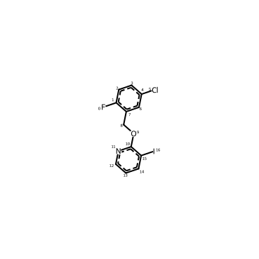 Fc1ccc(Cl)cc1COc1ncccc1I